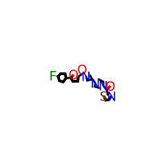 O=C(c1ccc(-c2ccc(F)cc2)o1)N1CC(N2CCN(C(=O)c3nccs3)CC2)C1